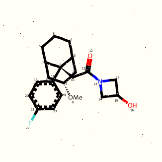 CO[C@H]1CC2CCCC(C1)[C@@]2(CC(=O)N1CC(O)C1)c1ccc(F)cc1